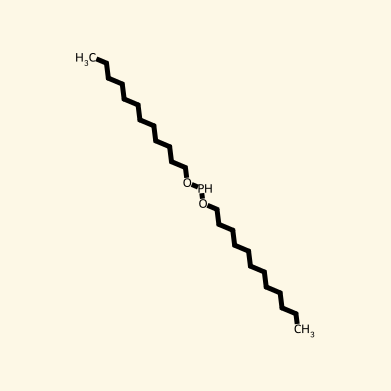 CCCCCCCCCCCCOPOCCCCCCCCCCCC